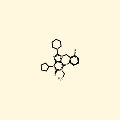 CCn1c(=O)c2c(nc(N3CCCCC3)n2Cc2c(F)cccc2Cl)n(C2CCCC2)c1=O